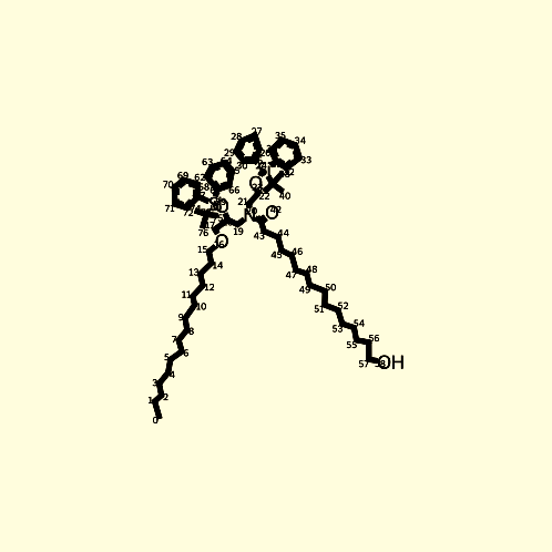 CCCCCCCCCCCCCCCCOCC(CN(CCO[Si](c1ccccc1)(c1ccccc1)C(C)(C)C)C(=O)CCCCCCCCCCCCCCCO)O[Si](c1ccccc1)(c1ccccc1)C(C)(C)C